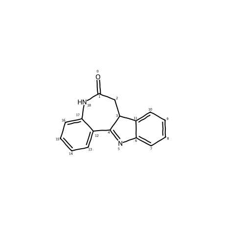 O=C1CC2C(=Nc3ccccc32)c2ccccc2N1